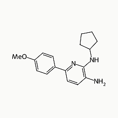 COc1ccc(-c2ccc(N)c(NC3CCCC3)n2)cc1